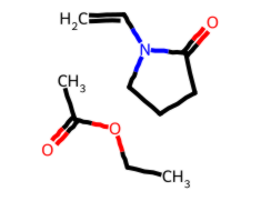 C=CN1CCCC1=O.CCOC(C)=O